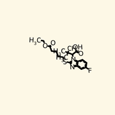 CCOC(=O)CCCCSc1nc2cc(F)ccc2n1C(C(=O)O)C(C)(C)C